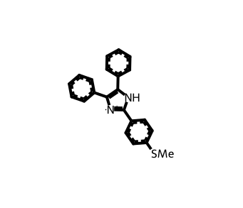 CSc1ccc(C2=[N+]C(c3ccccc3)=C(c3ccccc3)N2)cc1